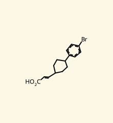 O=C(O)C=CC1CCC(c2ccc(Br)cc2)CC1